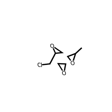 C1CO1.CC1CO1.ClCC1CO1